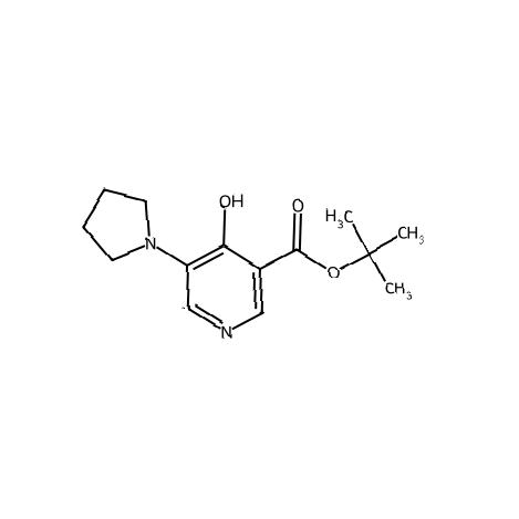 CC(C)(C)OC(=O)c1cn[c]c(N2CCCC2)c1O